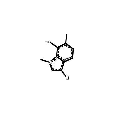 Cc1ccc2c(Cl)cn(C)c2c1C(C)(C)C